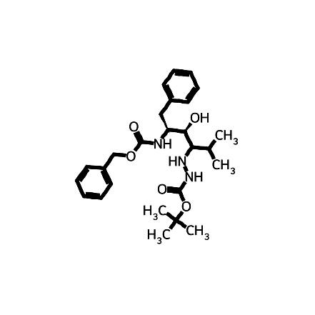 CC(C)C(NNC(=O)OC(C)(C)C)[C@H](O)[C@H](Cc1ccccc1)NC(=O)OCc1ccccc1